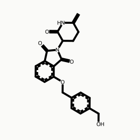 C=C1CCC(N2C(=O)c3cccc(OCc4ccc(CO)cc4)c3C2=O)C(=O)N1